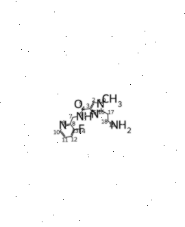 Cn1cc(C(=O)NCc2ncccc2F)nc1CCN